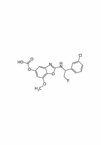 COc1cc(OC(=O)O)cc2nc(NC(CF)c3cccc(Cl)c3)oc12